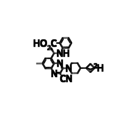 [2H]C12CC(C3CCN(c4nc5c([C@@H](C)Nc6ccccc6C(=O)O)cc(C)cc5nc4C#N)CC3)(C1)C2